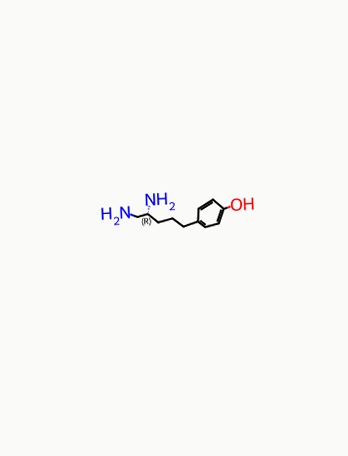 NC[C@H](N)CCCc1ccc(O)cc1